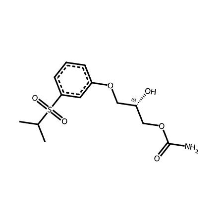 CC(C)S(=O)(=O)c1cccc(OC[C@H](O)COC(N)=O)c1